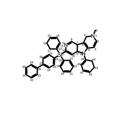 CN1C=CC2=C(C1)C1C=NC([Si](C3=CC=CCC3)(c3ccccc3)c3ccc(-c4ccccc4)cc3)=CC1N2C1=CC=CCC1